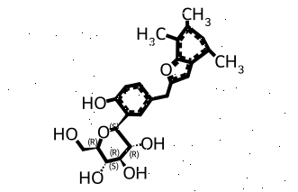 Cc1cc(C)c2cc(Cc3ccc(O)c([C@@H]4O[C@H](CO)[C@@H](O)[C@H](O)[C@H]4O)c3)oc2c1C